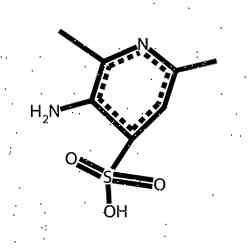 Cc1cc(S(=O)(=O)O)c(N)c(C)n1